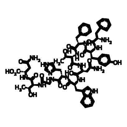 C[C@@H](O)[C@H](NC(=O)CNC(=O)[C@H](Cc1c[nH]cn1)NC(=O)[C@H](Cc1c[nH]c2ccccc12)NC(=O)[C@H](CC(N)=O)NC(=O)[C@@H](NC(=O)[C@H](Cc1ccccc1)NC(=O)[C@H](Cc1ccc(O)cc1)NC(=O)[C@@H](N)Cc1ccccc1)[C@@H](C)O)C(=O)N[C@@H](CC(N)=O)C(=O)O